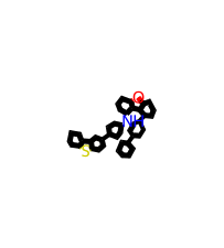 C1=CC(c2cccc3oc4cccc(Nc5ccc(-c6ccc7sc8ccccc8c7c6)cc5)c4c23)CC=C1c1ccccc1